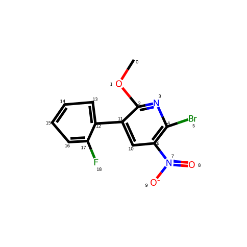 COc1nc(Br)c([N+](=O)[O-])cc1-c1ccccc1F